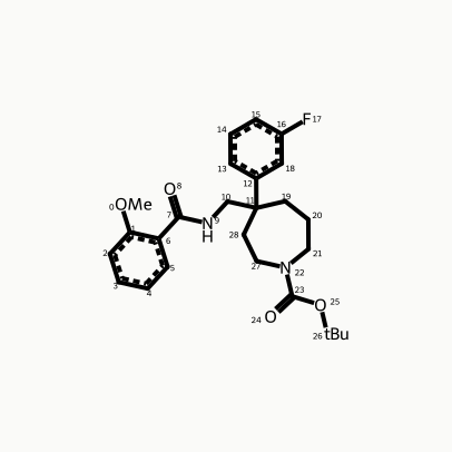 COc1ccccc1C(=O)NCC1(c2cccc(F)c2)CCCN(C(=O)OC(C)(C)C)CC1